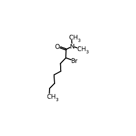 CCCCCCC(Br)C(=O)N(C)C